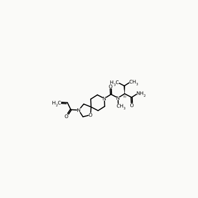 C=CC(=O)N1COC2(CCN(C(=O)N(C)[C@H](C(N)=O)C(C)C)CC2)C1